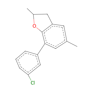 Cc1cc2c(c(-c3cccc(Cl)c3)c1)OC(C)C2